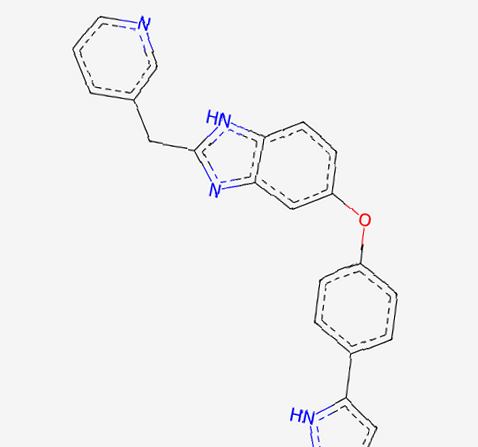 c1cncc(Cc2nc3cc(Oc4ccc(-c5ccn[nH]5)cc4)ccc3[nH]2)c1